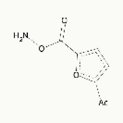 CC(=O)c1ccc(C(=O)ON)o1